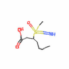 CCC(C(=O)O)S(C)(=N)=O